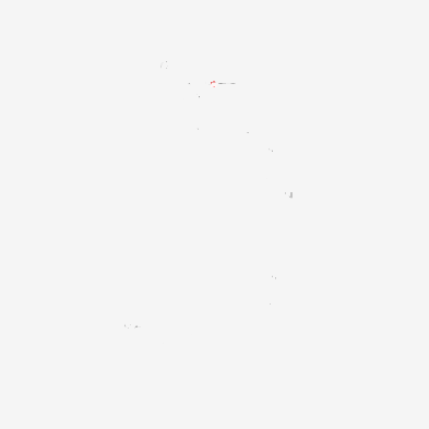 COC(=O)c1ccc(C(=O)N2CCC(NC(=O)NC34CC5CC(Cl)(CC(C3)c3ccccc35)C4)CC2)cc1